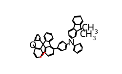 CC1(C)c2ccccc2-c2ccc(N(c3ccccc3)c3ccc(-c4cccc5c4-c4ccccc4C54c5ccccc5Oc5ccc6ccccc6c54)cc3)cc21